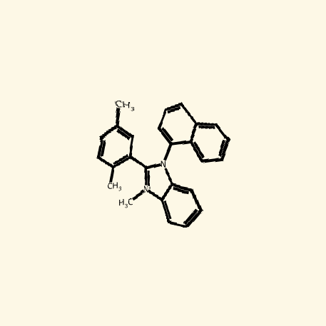 Cc1ccc(C)c(-c2n(-c3cccc4ccccc34)c3ccccc3[n+]2C)c1